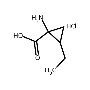 CCC1CC1(N)C(=O)O.Cl